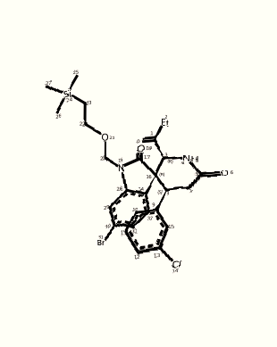 C=C(CC)[C@H]1NC(=O)C[C@@H](c2cccc(Cl)c2)[C@]12C(=O)N(COCC[Si](C)(C)C)c1cc(Br)ccc12